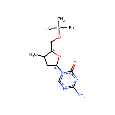 CC1C[C@H](n2cnc(N)nc2=O)O[C@@H]1CO[Si](C)(C)C(C)(C)C